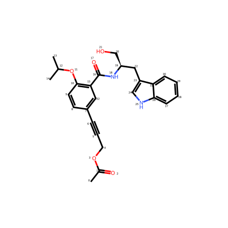 CC(=O)OCC#Cc1ccc(OC(C)C)c(C(=O)N[C@@H](CO)Cc2c[nH]c3ccccc23)c1